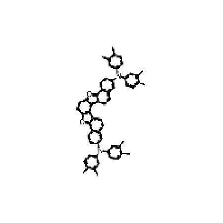 Cc1ccc(N(c2ccc(C)c(C)c2)c2ccc3c(ccc4c3oc3ccc5oc6c7ccc(N(c8ccc(C)c(C)c8)c8ccc(C)c(C)c8)cc7ccc6c5c34)c2)cc1C